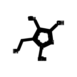 CCCCn1nc(O)c(C(C)(C)C)c1CC(C)C